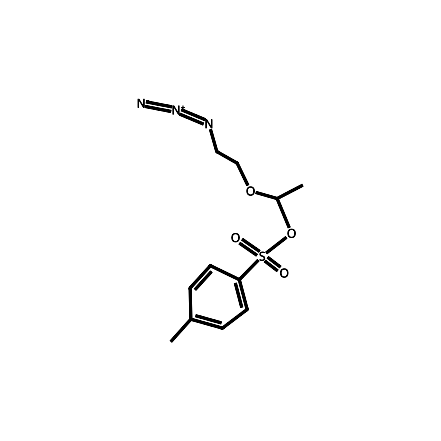 Cc1ccc(S(=O)(=O)OC(C)OCCN=[N+]=[N-])cc1